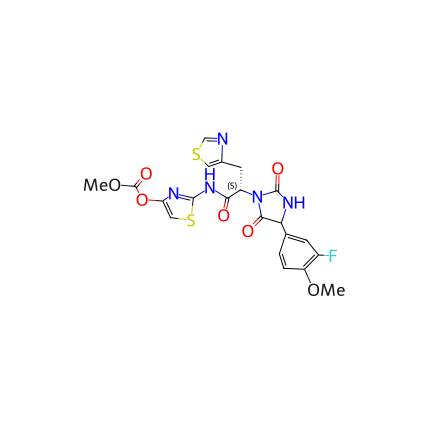 COC(=O)Oc1csc(NC(=O)[C@H](Cc2cscn2)N2C(=O)NC(c3ccc(OC)c(F)c3)C2=O)n1